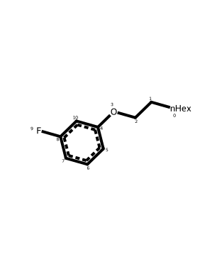 CCCCCCCCOc1cccc(F)c1